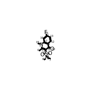 Cc1c(S(=O)(=O)N(C)C)c(=O)c2ccc(F)cc2n1C